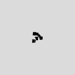 [O]=[Mo].[Ti].[Zr]